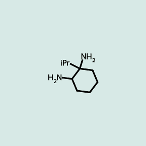 CC(C)C1(N)CCCCC1N